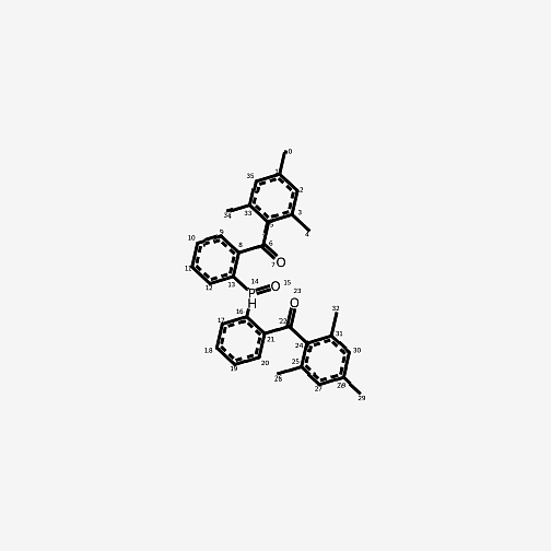 Cc1cc(C)c(C(=O)c2ccccc2[PH](=O)c2ccccc2C(=O)c2c(C)cc(C)cc2C)c(C)c1